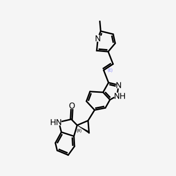 Cc1ccc(/C=C/c2n[nH]c3cc(C4C[C@@]45C(=O)Nc4ccccc45)ccc23)cn1